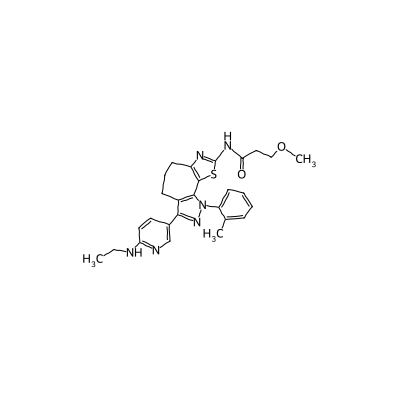 CCNc1ccc(-c2nn(-c3ccccc3C)c3c2CCCc2nc(NC(=O)CCOC)sc2-3)cn1